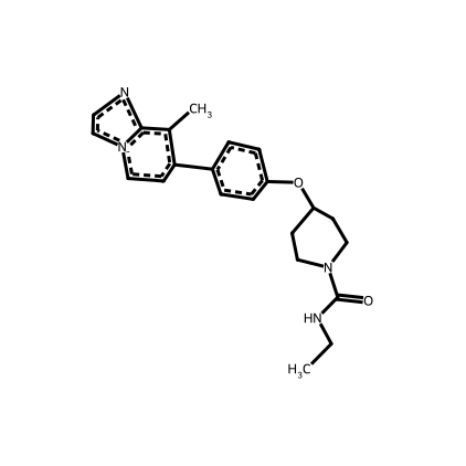 CCNC(=O)N1CCC(Oc2ccc(-c3ccn4ccnc4c3C)cc2)CC1